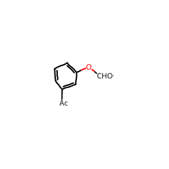 CC(=O)c1cccc(O[C]=O)c1